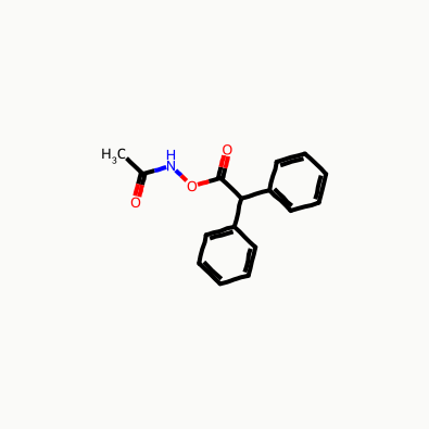 CC(=O)NOC(=O)C(c1ccccc1)c1ccccc1